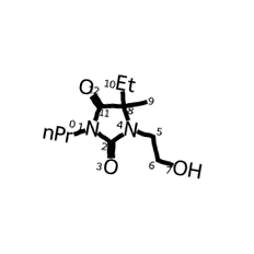 CCCN1C(=O)N(CCO)C(C)(CC)C1=O